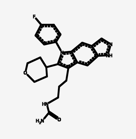 NC(=O)NCCCc1c(C2CCOCC2)n(-c2ccc(F)cc2)c2cc3cn[nH]c3cc12